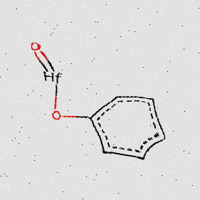 [O]=[Hf][O]c1ccccc1